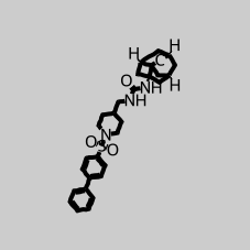 O=C(NCC1CCN(S(=O)(=O)c2ccc(-c3ccccc3)cc2)CC1)N[C@@]12C[C@@H]3C[C@@H]4C[C@H](C1)C2(C4)C3